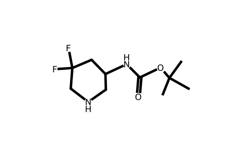 CC(C)(C)OC(=O)NC1CNCC(F)(F)C1